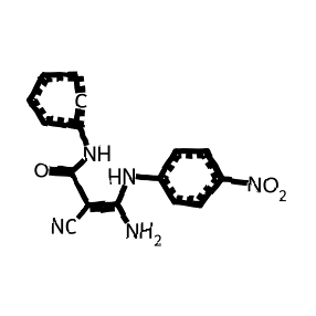 N#CC(C(=O)Nc1ccccc1)=C(N)Nc1ccc([N+](=O)[O-])cc1